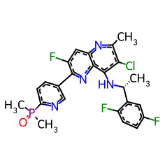 Cc1nc2cc(F)c(-c3ccc(P(C)(C)=O)nc3)nc2c(N[C@H](C)c2cc(F)ccc2F)c1Cl